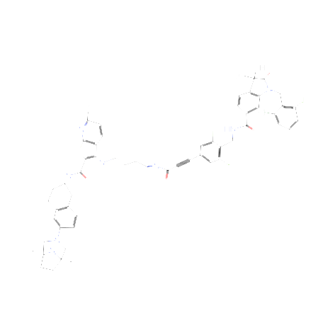 Cc1ccc2c(NCCCCNC(=O)C#Cc3cc(F)c(CNC(=O)c4ccc5c(c4)N(Cc4c(F)cccc4Cl)C(O)C5(C)C)c(F)c3)c(C(=O)N[C@H]3CCc4cc(N5C[C@H]6CC[C@@H](C5)N6)ccc4C3)sc2n1